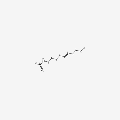 CCCCC=CCCCCOC(C)=O